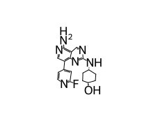 Nc1ncc(-c2ccnc(F)c2)c2nc(N[C@H]3CC[C@H](O)CC3)ncc12